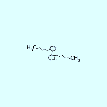 CCCCCCCc1[c]cccc1-c1ccccc1CCCCCC